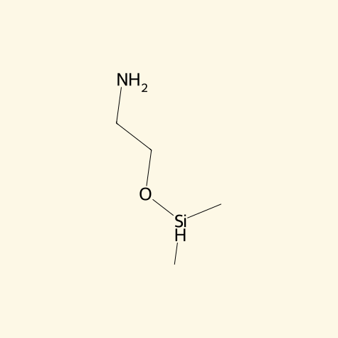 C[SiH](C)OCCN